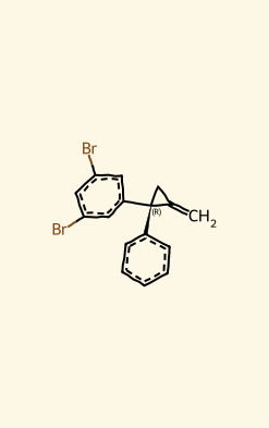 C=C1C[C@@]1(c1ccccc1)c1cc(Br)cc(Br)c1